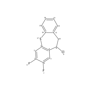 Fc1cc2c(cc1F)C(Cl)Cc1ccccc1S2